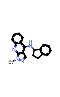 CCn1ncc2c(NC3CCc4ccccc43)c3ccccc3nc21